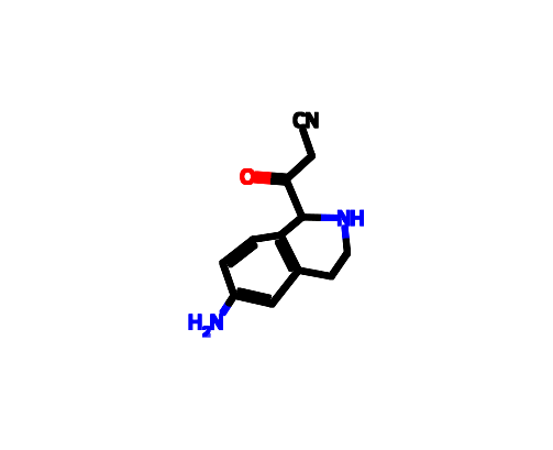 N#CCC(=O)C1NCCc2cc(N)ccc21